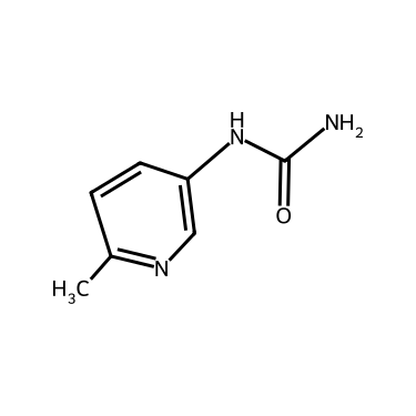 Cc1ccc(NC(N)=O)cn1